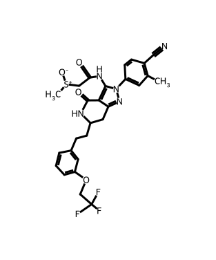 Cc1cc(-n2nc3c(c2NC(=O)C[S+](C)[O-])C(=O)NC(CCc2cccc(OCC(F)(F)F)c2)C3)ccc1C#N